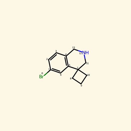 Brc1ccc2c(c1)C1(CCC1)CNC2